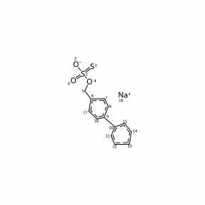 O=S([O-])(=S)OCc1ccc(-c2ccccc2)cc1.[Na+]